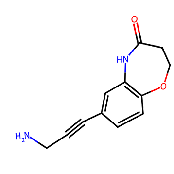 NCC#Cc1ccc2c(c1)NC(=O)CCO2